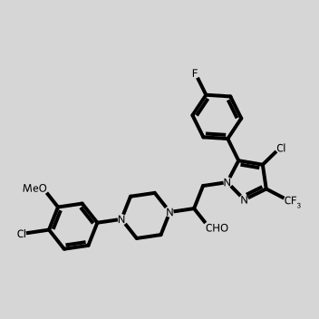 COc1cc(N2CCN(C(C=O)Cn3nc(C(F)(F)F)c(Cl)c3-c3ccc(F)cc3)CC2)ccc1Cl